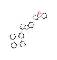 c1ccc2c(c1)-c1ccccc1-c1ccc(-c3cccc4c3sc3ccc(-c5ccc6oc7ccccc7c6c5)cc34)cc1-c1ccccc1-2